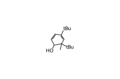 CC(C)(C)C1=CC(C)(C(C)(C)C)C(O)C=C1